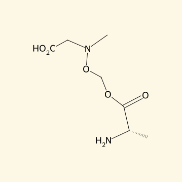 C[C@H](N)C(=O)OCON(C)CC(=O)O